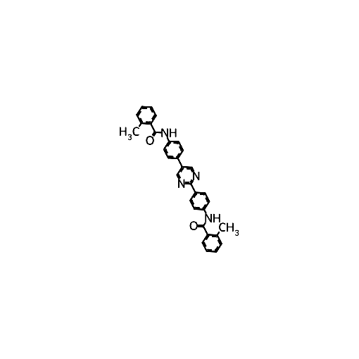 Cc1ccccc1C(=O)Nc1ccc(-c2cnc(-c3ccc(NC(=O)c4ccccc4C)cc3)nc2)cc1